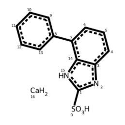 O=S(=O)(O)c1nc2cccc(-c3ccccc3)c2[nH]1.[CaH2]